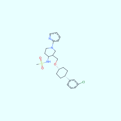 CS(=O)(=O)NC1CCN(c2ccccn2)CC1CO[C@H]1CC[C@@H](c2cccc(Cl)c2)CC1